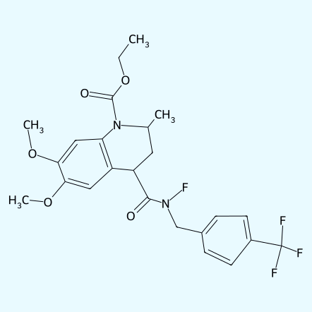 CCOC(=O)N1c2cc(OC)c(OC)cc2C(C(=O)N(F)Cc2ccc(C(F)(F)F)cc2)CC1C